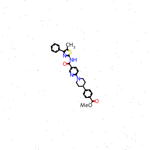 COC(=O)c1ccc(C2CCN(c3ccc(C(=O)Nc4nc(-c5ccccc5)c(C)s4)cn3)CC2)cc1